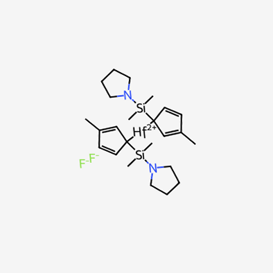 CC1=C[C]([Hf+2][C]2([Si](C)(C)N3CCCC3)C=CC(C)=C2)([Si](C)(C)N2CCCC2)C=C1.[F-].[F-]